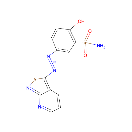 NS(=O)(=O)c1cc(/N=N/c2snc3ncccc23)ccc1O